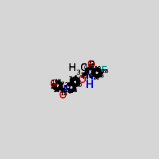 Cc1c(COc2ccc3c(c2)CCN(C(=O)C2CCOCC2)C3)[nH]c2ccc(F)cc2c1=O